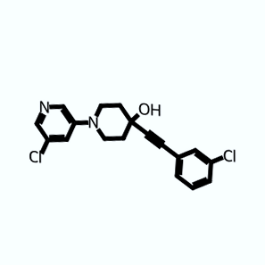 OC1(C#Cc2cccc(Cl)c2)CCN(c2cncc(Cl)c2)CC1